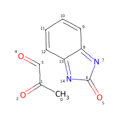 CC(=O)C=O.O=C1N=c2ccccc2=N1